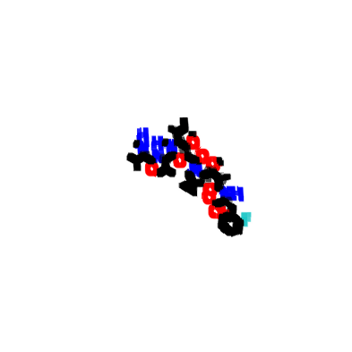 CC[C@H](C)[C@@H]([C@@H](CC(=O)N1CC2(CC2)C[C@H]1[C@H](OC)[C@@H](C)C(=O)N[C@@H](Cc1ccccc1F)C(=O)O)OC)N(C)C(=O)[C@@H](NC(=O)[C@@H](NC)C(C)C)C(C)C